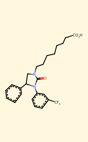 O=C(O)CCCCCCCN1CC(c2ccccc2)N(c2cccc(C(F)(F)F)c2)C1=O